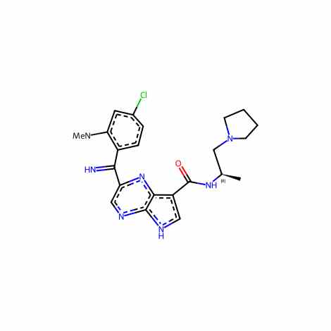 CNc1cc(Cl)ccc1C(=N)c1cnc2[nH]cc(C(=O)N[C@H](C)CN3CCCC3)c2n1